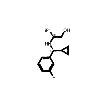 CC(C)[C@@H](CO)N[C@H](c1cccc(F)c1)C1CC1